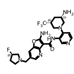 Nc1oc2cc(CN3CC[C@@H](F)C3)cnc2c1C(=O)Nc1cnccc1N1C[C@@H](N)C[C@@H](C(F)(F)F)C1